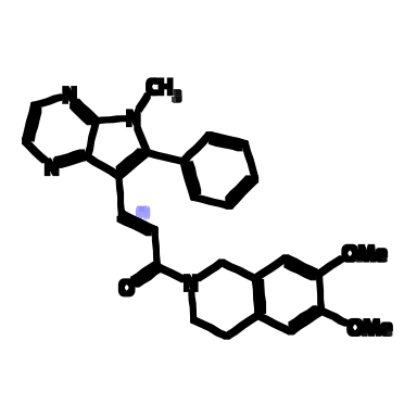 COc1cc2c(cc1OC)CN(C(=O)/C=C/c1c(-c3ccccc3)n(C)c3nccnc13)CC2